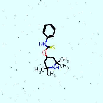 CC1(C)CC(OC(=S)Nc2ccccc2)CC(C)(C)N1